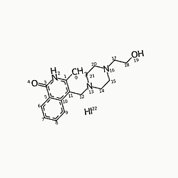 Cc1[nH]c(=O)c2ccccc2c1CN1CCN(CCO)CC1.I